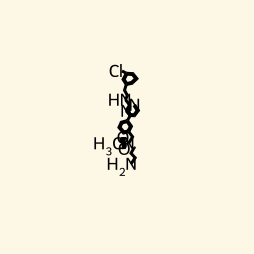 CS(=O)(=O)N(CCCN)Cc1cccc(-c2ccnc(NCCc3cccc(Cl)c3)n2)c1